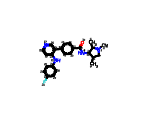 CC1CN(C#N)C(C)[C@@H]1NC(=O)c1ccc(-c2cnccc2Nc2ccc(F)cc2)cc1